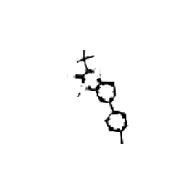 Cc1ccc(-c2ccc3nc(C(C)(C)C)c(=O)n(C)c3c2)cc1